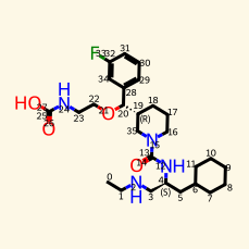 CCNC[C@H](CC1CCCCC1)NC(=O)N1CCC[C@@H](C(OCCNC(=O)O)c2cccc(F)c2)C1